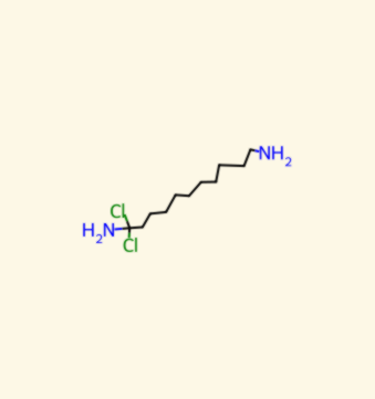 NCCCCCCCCCCC(N)(Cl)Cl